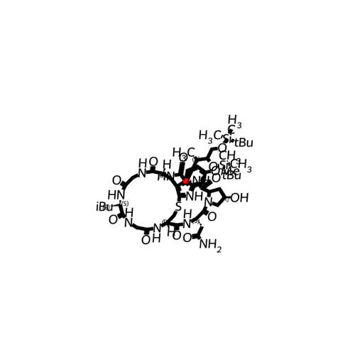 CC[C@H](C)[C@@H]1NC(=O)CNC(=O)[C@@H]2Cc3c([nH]c4cc(OC)ccc34)SC[C@H](NC(=O)CNC1=O)C(=O)N[C@@H](CC(N)=O)C(=O)N1C[C@H](O)CC1C(=O)N[C@@H]([C@@H](C)C(CO[Si](C)(C)C(C)(C)C)O[Si](C)(C)C(C)(C)C)C(=O)N2